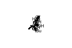 C=CCCC(C)C[C@@H](CC)[C@H](NC(=O)OC(C)(C)C)C(=O)N1C[C@H](O)C[C@H]1C(=O)N[C@]1(C(=O)NS(=O)(=O)C2(C)CC2)C[C@H]1C=C